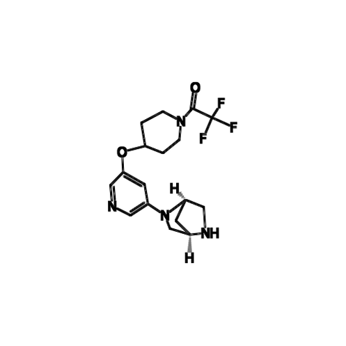 O=C(N1CCC(Oc2cncc(N3C[C@H]4C[C@@H]3CN4)c2)CC1)C(F)(F)F